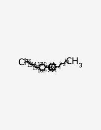 CCCCCC12CCC(C3CCC(CCCCCl)CC3)(CC1)CC2